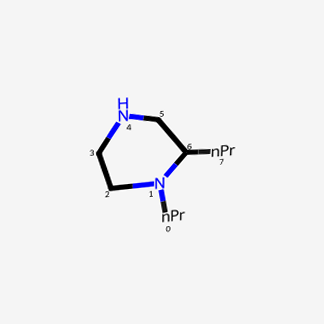 [CH2]CCN1CCNCC1CCC